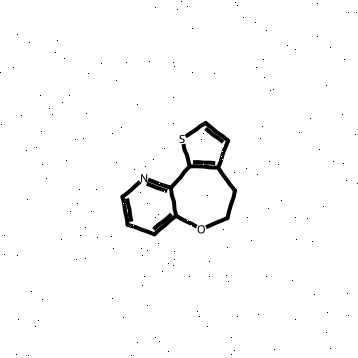 c1cnc2c(c1)OCCc1ccsc1-2